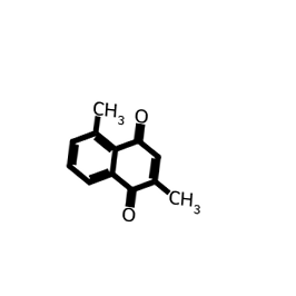 CC1=CC(=O)c2c(C)cccc2C1=O